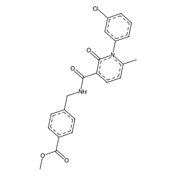 COC(=O)c1ccc(CNC(=O)c2ccc(C)n(-c3cccc(Cl)c3)c2=O)cc1